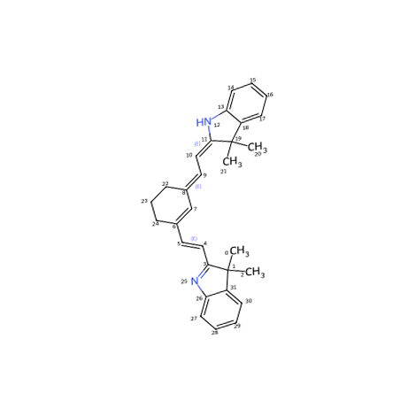 CC1(C)C(/C=C/C2=CC(=C/C=C3/Nc4ccccc4C3(C)C)/CCC2)=Nc2ccccc21